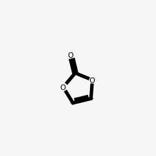 O=c1o[c][c]o1